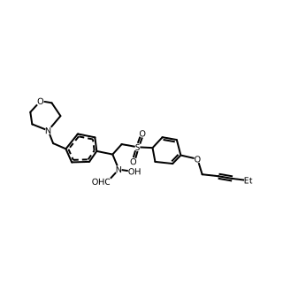 CCC#CCOC1=CCC(S(=O)(=O)CC(c2ccc(CN3CCOCC3)cc2)N(O)C=O)C=C1